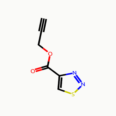 C#CCOC(=O)c1csnn1